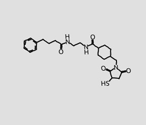 O=C(CCCc1ccccc1)NCCNC(=O)C1CCC(CN2C(=O)CC(S)C2=O)CC1